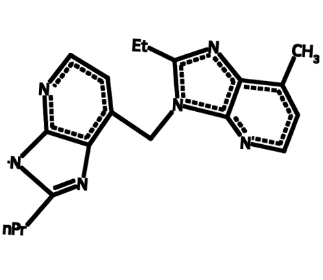 CCCC1=Nc2c(Cn3c(CC)nc4c(C)ccnc43)ccnc2[N]1